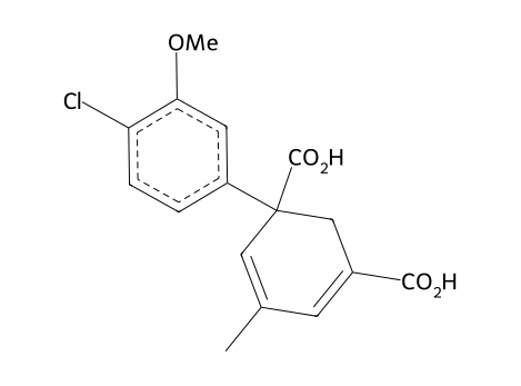 COc1cc(C2(C(=O)O)C=C(C)C=C(C(=O)O)C2)ccc1Cl